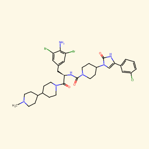 CN1CCC(C2CCN(C(=O)[C@@H](Cc3cc(Br)c(N)c(Br)c3)NC(=O)N3CCC(n4cc(-c5cccc(Cl)c5)[nH]c4=O)CC3)CC2)CC1